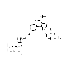 CCCn1c(COCC)nc2c(N)nc3ccc(OCCNC(=O)OC(C)(C)C)cc3c21